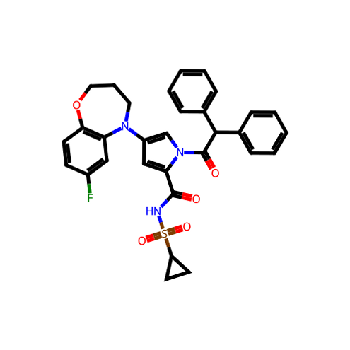 O=C(NS(=O)(=O)C1CC1)c1cc(N2CCCOc3ccc(F)cc32)cn1C(=O)C(c1ccccc1)c1ccccc1